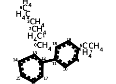 C.C.C.C.C.C.C.C.c1ccc(-c2ccccc2)cc1